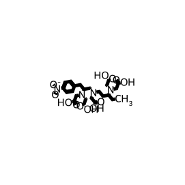 CCC(CCN(CC(=O)O)CC(Cc1ccc([N+](=O)[O-])cc1)N(CC(=O)O)CC(=O)O)N(CC(=O)O)CC(=O)O